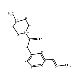 C/C=C/c1cccc(CC(=O)N2CCN(C)CC2)c1